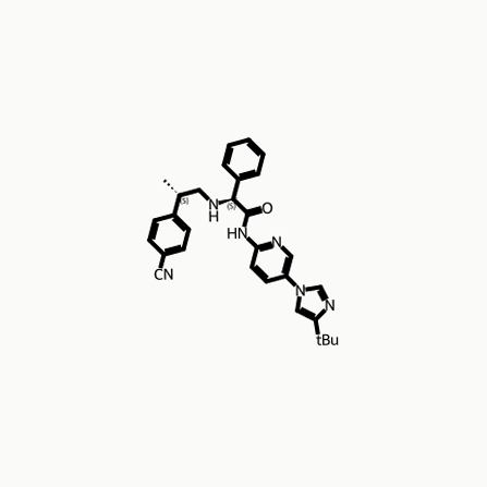 C[C@H](CN[C@H](C(=O)Nc1ccc(-n2cnc(C(C)(C)C)c2)cn1)c1ccccc1)c1ccc(C#N)cc1